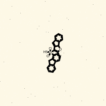 [SH][Zr]([Cl])([Cl])([C]1=C(Br)OC2C1=Cc1ccccc12)[c]1cccc2c1Cc1ccccc1-2